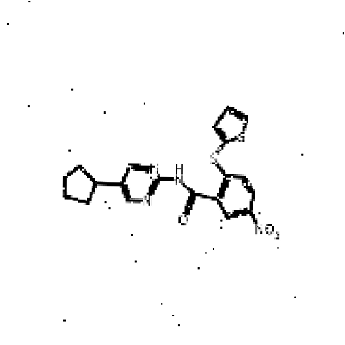 O=C(Nc1ncc(C2CCCC2)cn1)c1cc([N+](=O)[O-])ccc1Sc1cccs1